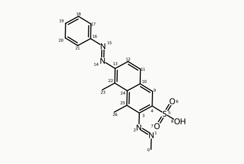 CN=Nc1c(S(=O)(=O)O)cc2ccc(N=Nc3ccccc3)c(C)c2c1C